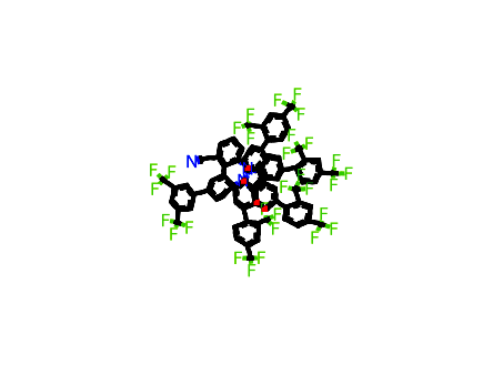 N#Cc1cccc(-n2c3ccc(-c4ccc(C(F)(F)F)cc4C(F)(F)F)cc3c3cc(-c4ccc(C(F)(F)F)cc4C(F)(F)F)ccc32)c1-c1cc(-c2cc(C(F)(F)F)cc(C(F)(F)F)c2)ccc1-n1c2ccc(-c3ccc(C(F)(F)F)cc3C(F)(F)F)cc2c2cc(-c3ccc(C(F)(F)F)cc3C(F)(F)F)ccc21